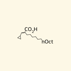 CCCCCCCCCCCCCCC(=CC1CC1)C(=O)O